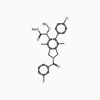 COC(=O)[C@@H](OC(C)(C)C)c1c(C)c2c(c(C)c1-c1ccc(Cl)cc1)CN(C(=O)c1cccc(F)c1)C2